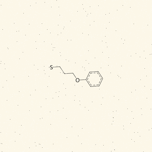 [S]CCCOc1ccccc1